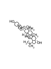 C=C(C)[C@@H]1CC[C@]2(CO)CC[C@]3(C)C(CCC4[C@@]5(C)CCC(OC(=O)C[N+]6(C)CCC(O)CC6)C(C)(C)C5CC[C@]43C)C12